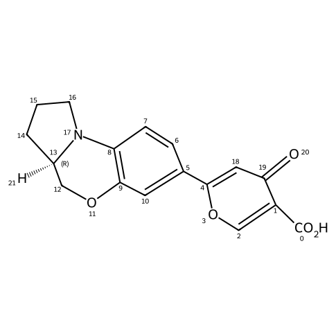 O=C(O)c1coc(-c2ccc3c(c2)OC[C@H]2CCCN32)cc1=O